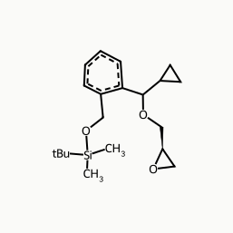 CC(C)(C)[Si](C)(C)OCc1ccccc1C(OC[C@H]1CO1)C1CC1